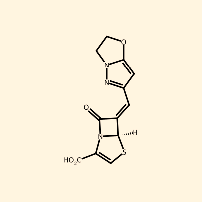 O=C(O)C1=CS[C@@H]2C(=Cc3cc4n(n3)CCO4)C(=O)N12